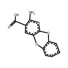 Nc1nc2c(cc1C(=O)O)Oc1ccccc1O2